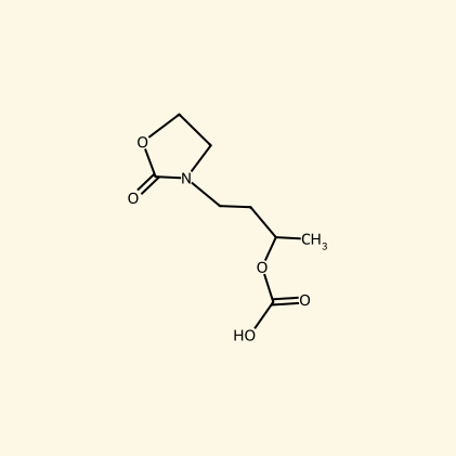 CC(CCN1CCOC1=O)OC(=O)O